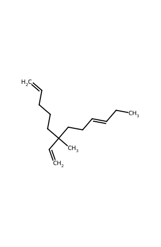 C=CCCCC(C)(C=C)CCC=CCC